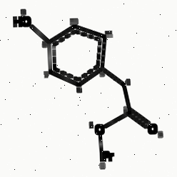 CC(C)OC(=O)Cc1ccc(O)cc1